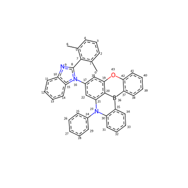 Cc1cccc(C)c1-c1nc2ccccc2n1-c1cc2c3c(c1)N(c1ccccc1)c1ccccc1B3c1ccccc1O2